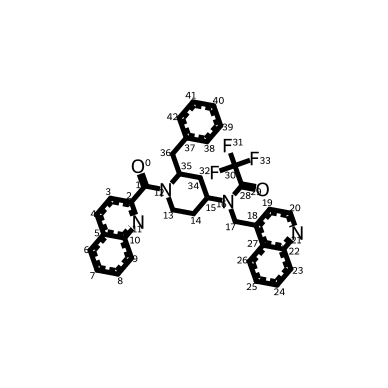 O=C(c1ccc2ccccc2n1)N1CCC(N(Cc2ccnc3ccccc23)C(=O)C(F)(F)F)CC1Cc1ccccc1